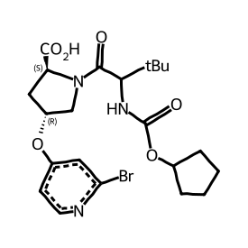 CC(C)(C)C(NC(=O)OC1CCCC1)C(=O)N1C[C@H](Oc2ccnc(Br)c2)C[C@H]1C(=O)O